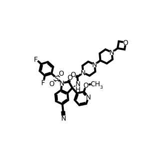 COc1ncccc1[C@]1(NC(=O)N2CCN(C3CCN(C4COC4)CC3)CC2)C(=O)N(S(=O)(=O)c2ccc(F)cc2F)c2ccc(C#N)cc21